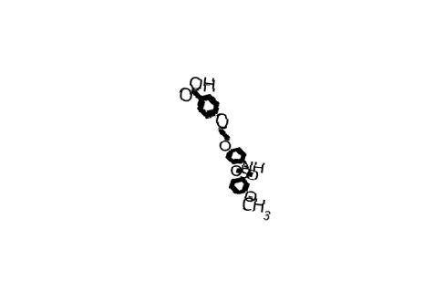 COc1cccc(S(=O)(=O)Nc2ccc(OCCOc3ccc(C(=O)O)cc3)cc2)c1